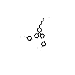 CCCCCCCCCCCCCCCC1CCC(c2ccc(Oc3ccc(N)cc3)cc2)(c2ccc(Oc3ccc(N)cc3)cc2)CC1